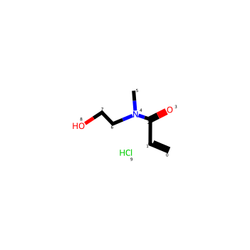 C=CC(=O)N(C)CCO.Cl